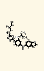 CC(C)Nc1cc(Nc2ccc3ncsc3c2)ncc1-c1nnc(NCC(F)CO)o1